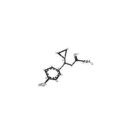 NC(=O)CC(c1ccc(O)cc1)C1CC1